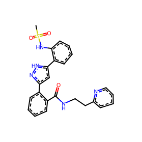 CS(=O)(=O)Nc1ccccc1-c1cc(-c2ccccc2C(=O)NCCc2ccccn2)n[nH]1